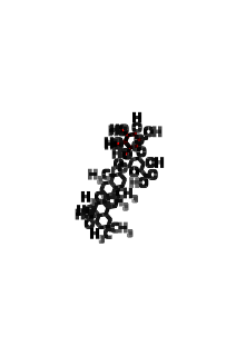 CC1(C)CC[C@]2(C(=O)O)C(O)CC3(C)C(=CCC4C5(C)CC[C@H](O[C@@H]6OC(C(=O)O)[C@@H](O)C(O[C@@H]7OC[C@@H](O)C(O)C7O)C6O[C@@H]6OC(CO)[C@H](O)C(O)C6O)C(C)(C=O)C5CCC43C)C2C1